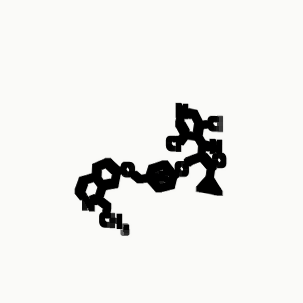 CCc1nccc2ccc(OCC34CCC(OCc5c(-c6c(Cl)cncc6Cl)noc5C5CC5)(CC3)CC4)cc12